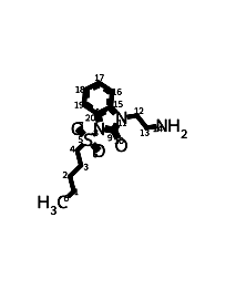 CCCCCS(=O)(=O)n1c(=O)n(CCN)c2ccccc21